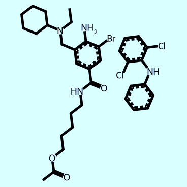 CCN(Cc1cc(C(=O)NCCCCCOC(C)=O)cc(Br)c1N)C1CCCCC1.Clc1cccc(Cl)c1Nc1ccccc1